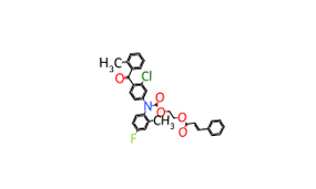 Cc1ccccc1C(=O)c1ccc(N(C(=O)OCCOC(=O)C=Cc2ccccc2)c2ccc(F)cc2C)cc1Cl